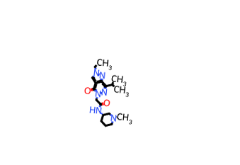 CCn1cc2c(=O)n(CC(=O)N[C@@H]3CCCN(C)C3)nc(C(C)C)c2n1